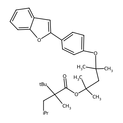 CC(C)CC(C)(C(=O)OC(C)(C)CC(C)(C)Oc1ccc(-c2cc3ccccc3o2)cc1)C(C)(C)C